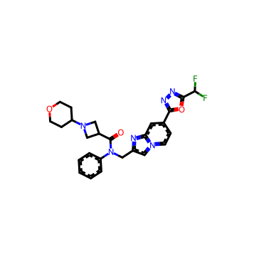 O=C(C1CN(C2CCOCC2)C1)N(Cc1cn2ccc(-c3nnc(C(F)F)o3)cc2n1)c1ccccc1